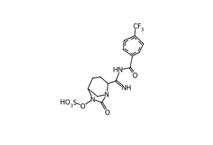 N=C(NC(=O)c1ccc(C(F)(F)F)cc1)C1CCC2CN1C(=O)N2OS(=O)(=O)O